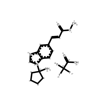 COC(=O)C=Cc1ccc2c(c1)ncn2C1(N)CCCC1.O=C(O)C(F)(F)F